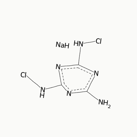 Nc1nc(NCl)nc(NCl)n1.[NaH]